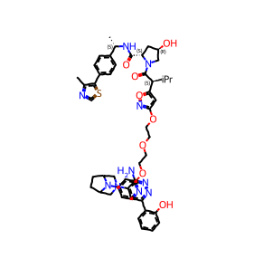 Cc1ncsc1-c1ccc([C@H](C)NC(=O)[C@@H]2C[C@@H](O)CN2C(=O)[C@H](c2cc(OCCOCCOc3cc(N4C5CCC4CN(c4cc(-c6ccccc6O)nnc4N)C5)ccn3)no2)C(C)C)cc1